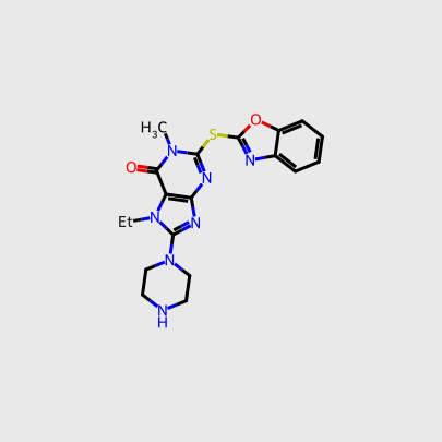 CCn1c(N2CCNCC2)nc2nc(Sc3nc4ccccc4o3)n(C)c(=O)c21